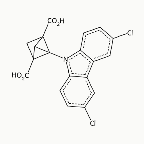 O=C(O)C12CC(C(=O)O)(C1)C2n1c2ccc(Cl)cc2c2cc(Cl)ccc21